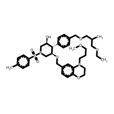 CCOCC(C)COCc1ccc([C@H]2[C@H](O)CN(S(=O)(=O)c3ccc(C)cc3)C[C@@H]2OCc2ccc3c(c2)N(CCCOC)CCO3)cc1